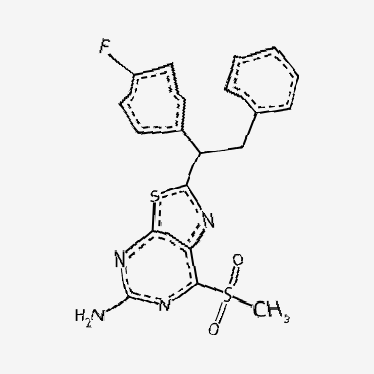 CS(=O)(=O)c1nc(N)nc2sc(C(Cc3ccccc3)c3ccc(F)cc3)nc12